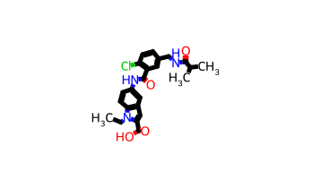 CCn1c(C(=O)O)cc2cc(NC(=O)c3cc(CNC(=O)C(C)C)ccc3Cl)ccc21